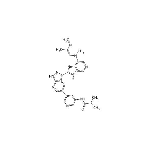 C=N/C(C)=C\N(C)c1cncc2[nH]c(-c3n[nH]c4ncc(-c5cncc(NC(=O)C(C)C)c5)cc34)nc12